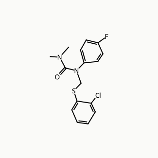 CN(C)C(=O)N(CSc1ccccc1Cl)c1ccc(F)cc1